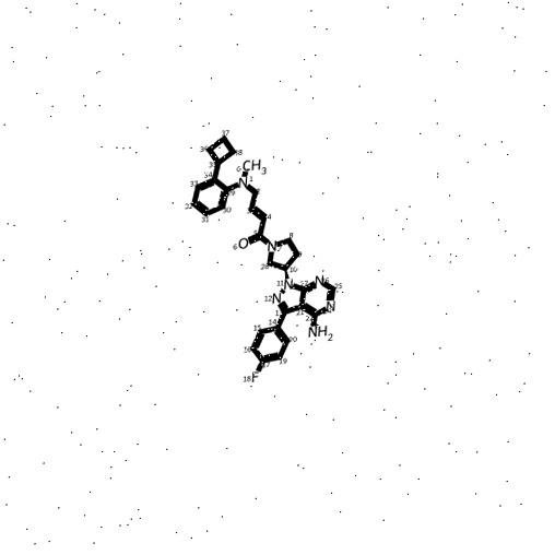 CN(C/C=C/C(=O)N1CC[C@@H](n2nc(-c3ccc(F)cc3)c3c(N)ncnc32)C1)c1ccccc1C1CCC1